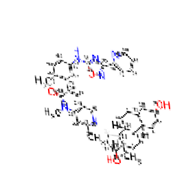 C[C@]12CC[C@@H]3c4ccc(O)cc4CC[C@H]3[C@@H]1CC[C@@H]2O.Cc1cc2c(cn1)cc(-c1cc(Nc3nc(-c4ccccn4)no3)ccc1C)c(=O)n2C